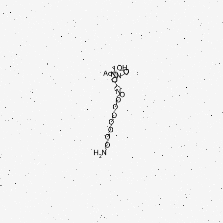 CC(=O)N1c2ccc(C3=CCN(C(=O)COCCOCCOCCOCCOCCOCCOCCN)CC3)cc2N(Cc2ccccc2CO)C[C@@H]1C1CC1